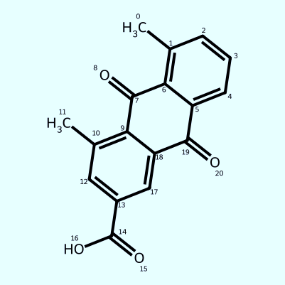 Cc1cccc2c1C(=O)c1c(C)cc(C(=O)O)cc1C2=O